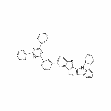 c1ccc(-c2nc(-c3ccccc3)nc(-c3cccc(-c4ccc5sc6c(ccc7c8cccc9c%10ccccc%10n(c98)c76)c5c4)c3)n2)cc1